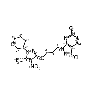 Cc1c([N+](=O)[O-])c(OCCCn2nc(Cl)c3cnc(Cl)nc32)nn1C1CCCOC1